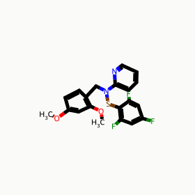 COc1ccc(CN(Sc2c(F)cc(F)cc2F)c2ccccn2)c(OC)c1